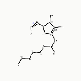 C/C=C\C1SC(CC(C)CCCCCC)=C(C)C1C